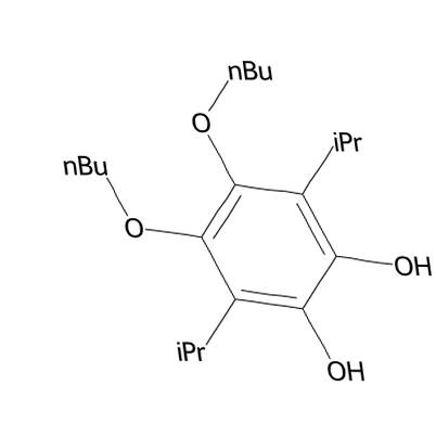 CCCCOc1c(OCCCC)c(C(C)C)c(O)c(O)c1C(C)C